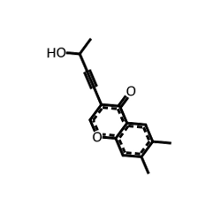 Cc1cc2occ(C#CC(C)O)c(=O)c2cc1C